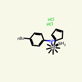 CCCCc1ccc([NH][Hf]([CH3])([CH3])([CH3])([CH3])([CH3])([CH3])(=[SiH2])[C]2=CC=CC2)cc1.Cl.Cl